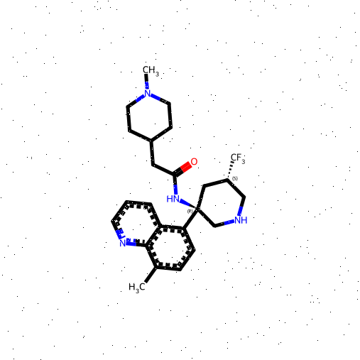 Cc1ccc([C@@]2(NC(=O)CC3CCN(C)CC3)CNC[C@@H](C(F)(F)F)C2)c2cccnc12